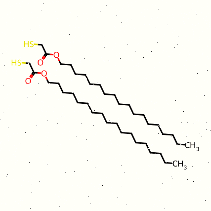 CCCCCCCCCCCCCCCCCCOC(=O)CS.CCCCCCCCCCCCCCCCCCOC(=O)CS